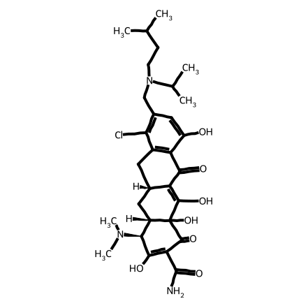 CC(C)CCN(Cc1cc(O)c2c(c1Cl)C[C@H]1C[C@H]3[C@H](N(C)C)C(O)=C(C(N)=O)C(=O)C3(O)C(O)=C1C2=O)C(C)C